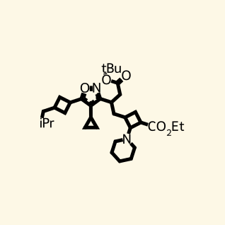 CCOC(=O)C1CC(CC(CC(=O)OC(C)(C)C)c2noc(C3CC(CC(C)C)C3)c2C2CC2)C1N1CCCCC1